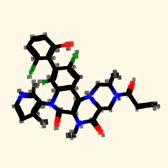 C=CC(=O)N1CC2C(=O)N(C)c3c(c4cc(Cl)c(-c5c(O)cccc5F)c(F)c4n(-c4c(C#N)ccnc4C(C)C)c3=O)N2CC1C